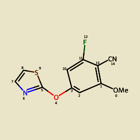 COc1cc(Oc2nccs2)cc(F)c1C#N